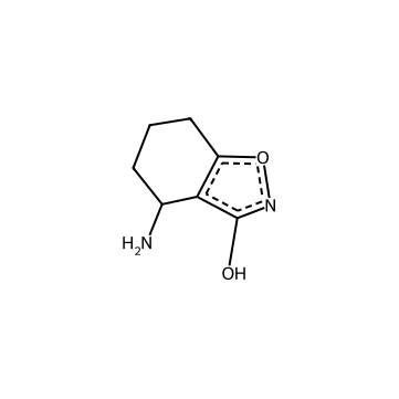 NC1CCCc2onc(O)c21